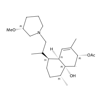 CO[C@@H]1CCCN(CC(C)[C@@H]2CC[C@@H](C)[C@]3(O)[CH][C@@H](OC(C)=O)C(C)=C[C@H]23)C1